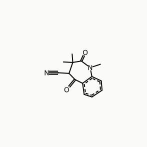 CN1C(=O)C(C)(C)C(C#N)C(=O)c2ccccc21